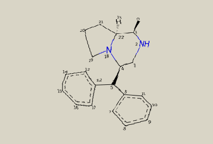 C[C@H]1NC[C@@H](C(c2ccccc2)c2ccccc2)N2CCC[C@@H]12